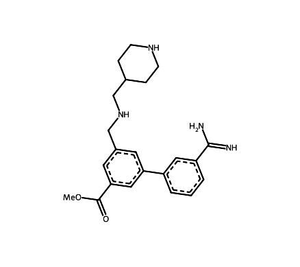 COC(=O)c1cc(CNCC2CCNCC2)cc(-c2cccc(C(=N)N)c2)c1